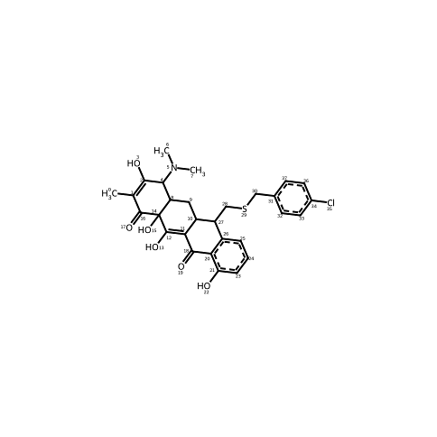 CC1=C(O)C(N(C)C)C2CC3C(=C(O)C2(O)C1=O)C(=O)c1c(O)cccc1C3CSCc1ccc(Cl)cc1